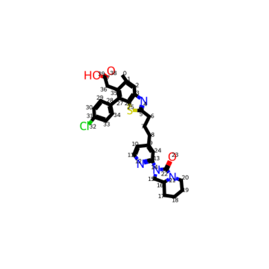 Cc1cc2nc(CCCc3ccnc(N4CC5CCCCN5C4=O)c3)sc2c(-c2ccc(Cl)cc2)c1CC(=O)O